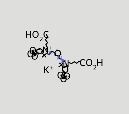 CC1(C)C(/C=C/C2=CC(=C/C=C3/N(CCCCCC(=O)O)c4ccc(S(=O)(=O)[O-])cc4C3(C)C)/CCC2)=[N+](CCCCCC(=O)O)c2ccc(S(=O)(=O)[O-])cc21.[K+]